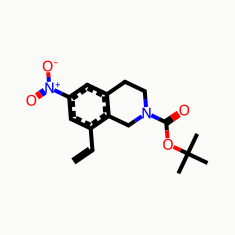 C=Cc1cc([N+](=O)[O-])cc2c1CN(C(=O)OC(C)(C)C)CC2